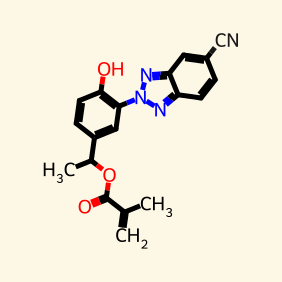 C=C(C)C(=O)OC(C)c1ccc(O)c(-n2nc3ccc(C#N)cc3n2)c1